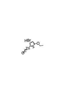 Br.CCOc1cc[c]([Zn]=[C]=O)s1